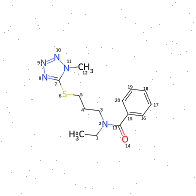 CCN(CCCSc1nnnn1C)C(=O)c1ccccc1